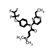 CCc1nccc(N(C(=O)C=CN(C)C)c2ccc(OC(F)(F)C(F)F)cc2)n1